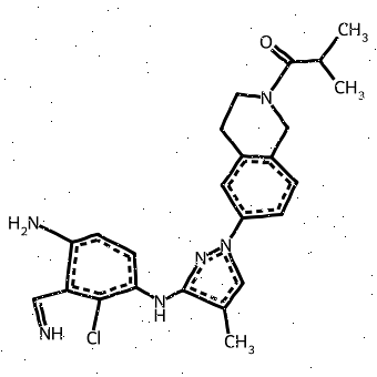 Cc1cn(-c2ccc3c(c2)CCN(C(=O)C(C)C)C3)nc1Nc1ccc(N)c(C=N)c1Cl